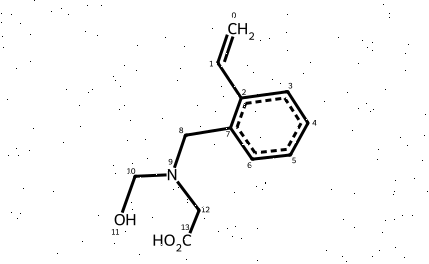 C=Cc1ccccc1CN(CO)CC(=O)O